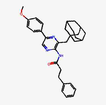 COc1ccc(-c2cnc(NC(=O)CCc3ccccc3)c(CC34CC5CC(CC(C5)C3)C4)n2)cc1